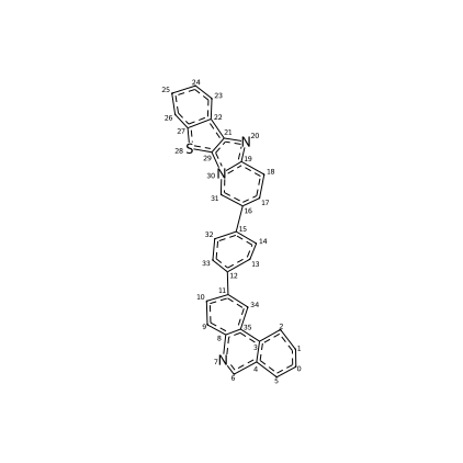 c1ccc2c(c1)cnc1ccc(-c3ccc(-c4ccc5nc6c7ccccc7sc6n5c4)cc3)cc12